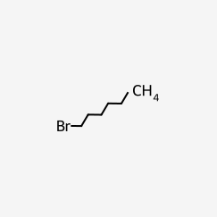 C.CCCCCCBr